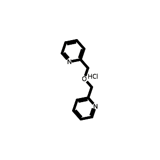 Cl.c1ccc(COCc2ccccn2)nc1